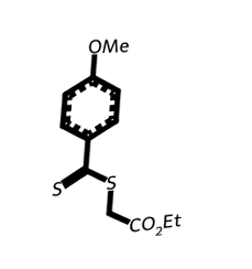 CCOC(=O)CSC(=S)c1ccc(OC)cc1